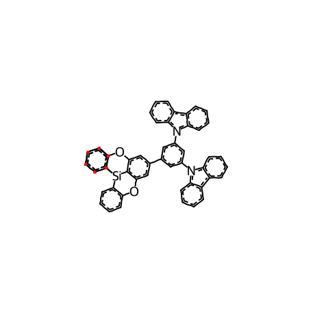 c1ccc([Si]23c4ccccc4Oc4cc(-c5cc(-n6c7ccccc7c7ccccc76)cc(-n6c7ccccc7c7ccccc76)c5)cc(c42)Oc2ccccc23)cc1